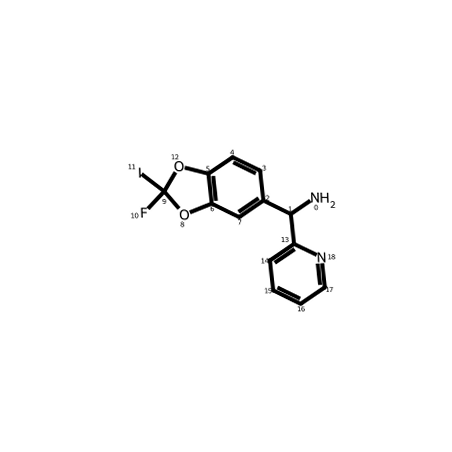 NC(c1ccc2c(c1)OC(F)(I)O2)c1ccccn1